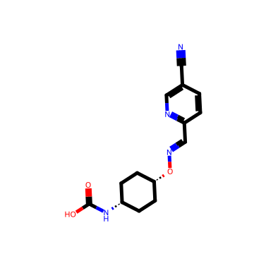 N#Cc1ccc(C=NO[C@H]2CC[C@@H](NC(=O)O)CC2)nc1